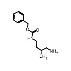 C[C@H](CN)CCNC(=O)OCc1ccccc1